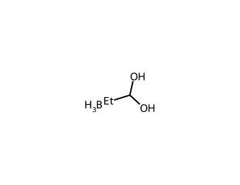 B.CCC(O)O